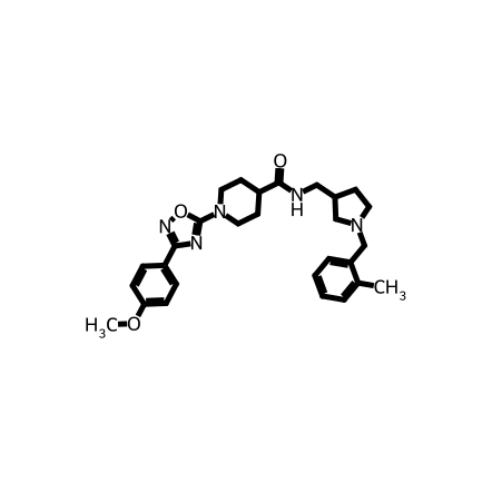 COc1ccc(-c2noc(N3CCC(C(=O)NCC4CCN(Cc5ccccc5C)C4)CC3)n2)cc1